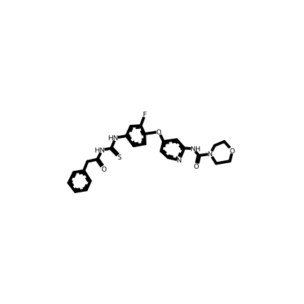 O=C(Cc1ccccc1)NC(=S)Nc1ccc(Oc2ccnc(NC(=O)N3CCOCC3)c2)c(F)c1